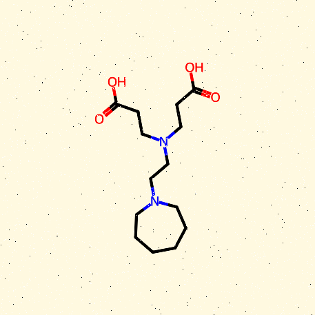 O=C(O)CCN(CCC(=O)O)CCN1CCCCCC1